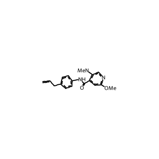 C=CCc1ccc(NC(=O)c2cc(OC)ncc2NC)cc1